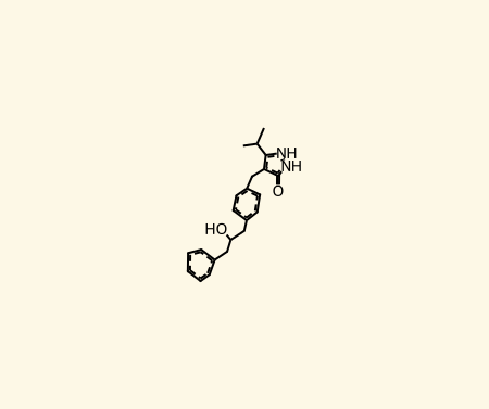 CC(C)c1[nH][nH]c(=O)c1Cc1ccc(CC(O)Cc2ccccc2)cc1